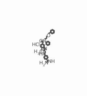 Cl.Cn1c(CNc2ccc(C(=N)N)cc2)nc2cc(C(=O)N(CCCOCc3ccccc3)c3ccccc3)ccc21